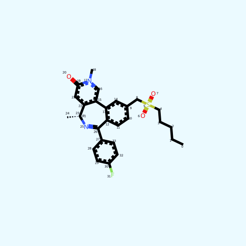 CCCCCS(=O)(=O)Cc1ccc2c(c1)-c1cn(C)c(=O)cc1[C@@H](C)N=C2c1ccc(F)cc1